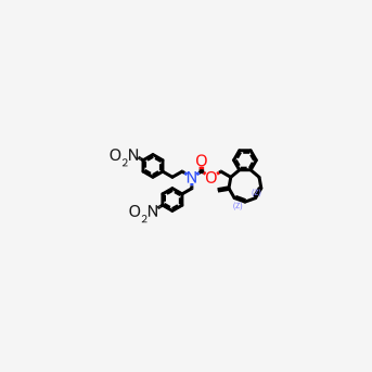 C=C1/C=C\C=C/Cc2ccccc2C1COC(=O)N(CCc1ccc([N+](=O)[O-])cc1)Cc1ccc([N+](=O)[O-])cc1